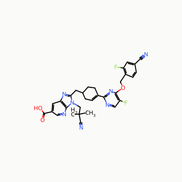 CC(C)(C#N)Cn1c(CC2CC=C(c3ncc(F)c(OCc4ccc(C#N)cc4F)n3)CC2)nc2cc(C(=O)O)cnc21